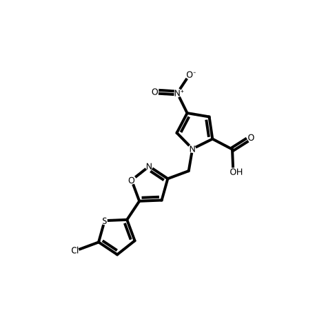 O=C(O)c1cc([N+](=O)[O-])cn1Cc1cc(-c2ccc(Cl)s2)on1